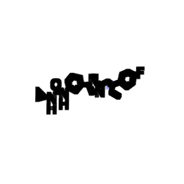 C=C/C(=C\c1ncc(-c2cccc(NC(=O)NC3CC3)c2)n1C)c1ccc(F)cc1